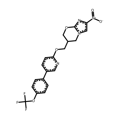 O=[N+]([O-])c1cn2c(n1)OCC(COc1ccc(-c3ccc(OC(F)(F)F)cc3)cn1)C2